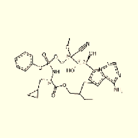 CCC(CC)COC(=O)[C@H](CC1CC1)NP(=O)(OC[C@@](C#N)(OC)[C@@H](O)[C@@H](O)c1ccc2c(N)ncnn12)Oc1ccccc1